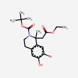 CCOC(=O)CC1(C)c2cc(Br)c(O)cc2CCN1C(=O)OC(C)(C)C